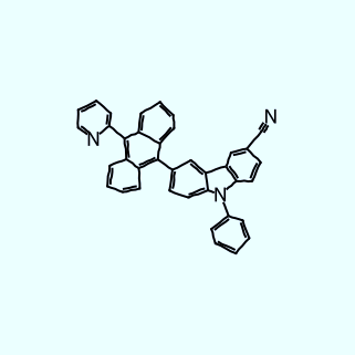 N#Cc1ccc2c(c1)c1cc(-c3c4ccccc4c(-c4ccccn4)c4ccccc34)ccc1n2-c1ccccc1